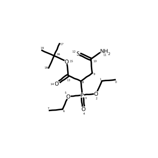 CCOP(=O)(OCC)C(CC(N)=S)C(=O)OC(C)(C)C